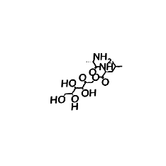 CC(C)C[C@H](NC(=O)[C@H](C)N)C(=O)OCC(=O)[C@@H](O)[C@H](O)[C@H](O)CO